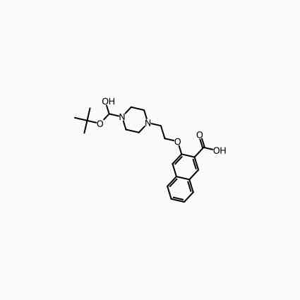 CC(C)(C)OC(O)N1CCN(CCOc2cc3ccccc3cc2C(=O)O)CC1